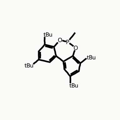 Cp1oc2c(C(C)(C)C)cc(C(C)(C)C)cc2c2cc(C(C)(C)C)cc(C(C)(C)C)c2o1